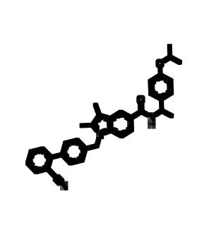 Cc1c(C)n(Cc2ccc(-c3ccccc3C#N)cc2)c2ccc(C(=O)NC(C)c3ccc(OC(C)C)cc3)cc12